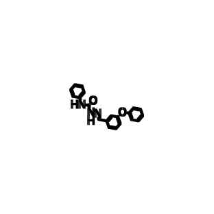 O=C(N/N=C/c1cccc(Oc2ccccc2)c1)Nc1ccccc1